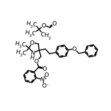 CC(C)(C)OC=O.CC1(C)NC(CCc2ccc(OCc3ccccc3)cc2)(COC(=O)c2ccccc2[N+](=O)[O-])CO1